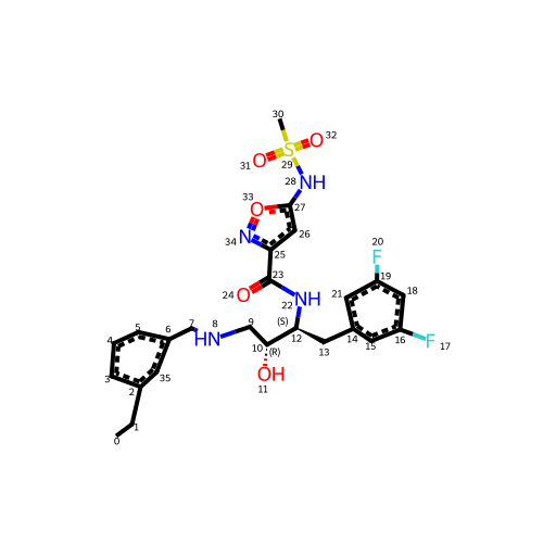 CCc1cccc(CNC[C@@H](O)[C@H](Cc2cc(F)cc(F)c2)NC(=O)c2cc(NS(C)(=O)=O)on2)c1